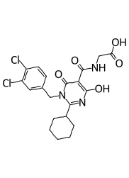 O=C(O)CNC(=O)c1c(O)nc(C2CCCCC2)n(Cc2ccc(Cl)c(Cl)c2)c1=O